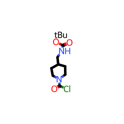 CC(C)(C)OC(=O)NCC1CCN(C(=O)Cl)CC1